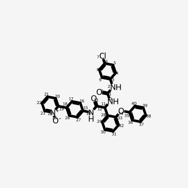 O=C(Nc1ccc(Cl)cc1)NC(C(=O)Nc1ccc(-c2cccc[n+]2[O-])cc1)c1ccccc1Oc1ccccc1